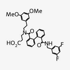 COc1cc(CCN(CCC(=O)O)C(=O)c2ccccc2-c2ccccc2C(=O)NCc2cc(F)cc(F)c2)cc(OC)c1